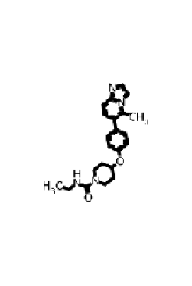 CCNC(=O)N1CCC(Oc2ccc(-c3ccc4nccn4c3C)cc2)CC1